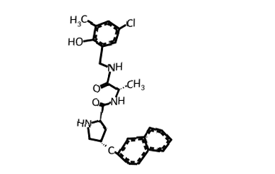 Cc1cc(Cl)cc(CNC(=O)[C@H](C)NC(=O)[C@H]2C[C@H](Cc3ccc4ccccc4c3)CN2)c1O